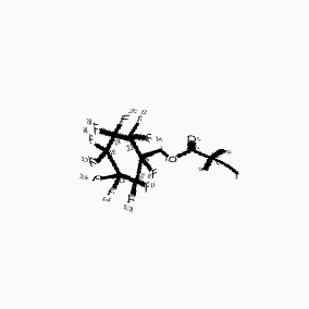 CC(C)(C)C(=O)OCC1(F)C(F)(F)C(F)(F)C(F)(F)C(F)(F)C1(F)F